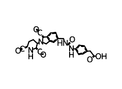 O=C=C1CCC(N2Cc3cc(CNC(=O)Nc4ccc(CC(=O)O)cc4)ccc3C2=C=O)C(=C=O)N1